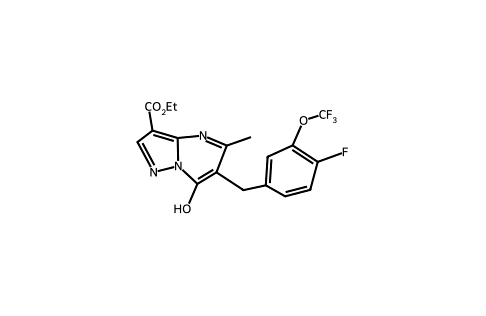 CCOC(=O)c1cnn2c(O)c(Cc3ccc(F)c(OC(F)(F)F)c3)c(C)nc12